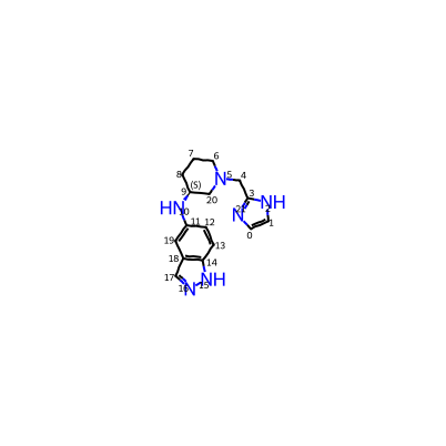 c1c[nH]c(CN2CCC[C@H](Nc3ccc4[nH]ncc4c3)C2)n1